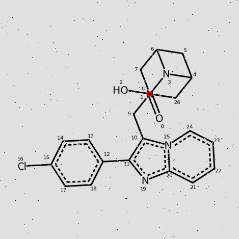 O=C(O)N1C2CC1CN(Cc1c(-c3ccc(Cl)cc3)nc3ccccn13)C2